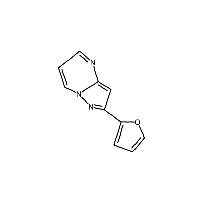 c1coc(-c2cc3ncccn3n2)c1